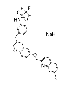 O=S(=O)(Nc1cccc(CC2COc3ccc(OCc4ccc5ccc(Cl)cc5n4)cc3C2)c1)C(F)(F)F.[NaH]